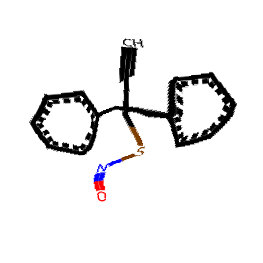 C#CC(SN=O)(c1ccccc1)c1ccccc1